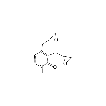 O=c1[nH]ccc(CC2CO2)c1CC1CO1